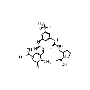 CC(C)N1CC(=O)N(C)c2cnc(Nc3cc(NC(=O)NCC4CCCN4C(=O)O)cc(S(C)(=O)=O)c3)nc21